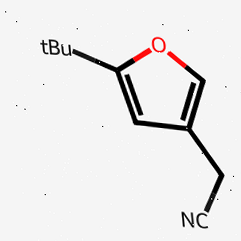 CC(C)(C)c1cc(CC#N)co1